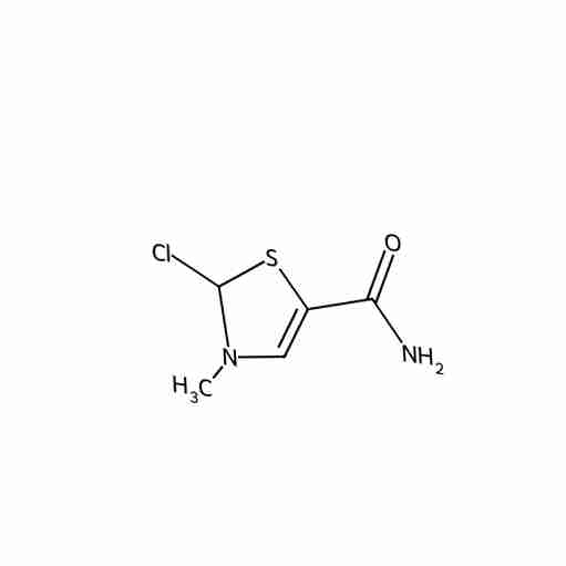 CN1C=C(C(N)=O)SC1Cl